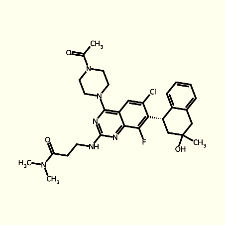 CC(=O)N1CCN(c2nc(NCCC(=O)N(C)C)nc3c(F)c([C@H]4CC(C)(O)Cc5ccccc54)c(Cl)cc23)CC1